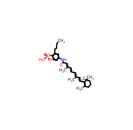 CCCCc1cc(NC(=O)/C=C(C)/C=C/C=C(C)/C=C/C2=C(C)CCCC2(C)C)ccc1OP(=O)(O)O